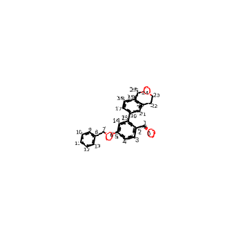 O=Cc1ccc(OCc2ccccc2)cc1-c1ccc2c(c1)CCOC2